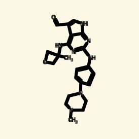 CN1CCN(c2ccc(Nc3nc(NC4(C)COC4)c4c(C=O)c[nH]c4n3)cc2)CC1